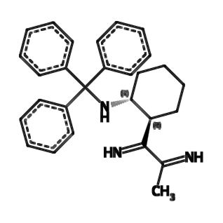 CC(=N)C(=N)[C@@H]1CCCC[C@H]1NC(c1ccccc1)(c1ccccc1)c1ccccc1